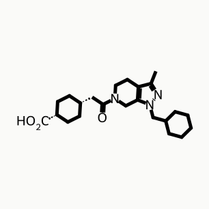 Cc1nn(CC2CCCCC2)c2c1CCN(C(=O)C[C@H]1CC[C@@H](C(=O)O)CC1)C2